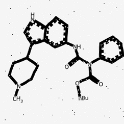 CCCCOC(=O)N(C(=O)Nc1ccc2[nH]cc(C3CCN(C)CC3)c2c1)c1ccccc1